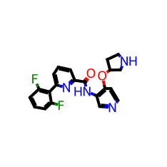 O=C(Nc1cnccc1OC1CCNC1)c1cccc(-c2c(F)cccc2F)n1